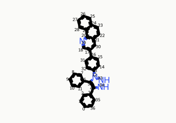 c1ccc(C2=C(c3ccccc3)N(c3ccc(-c4cnc5c(ccc6ccccc65)c4)cc3)NN2)cc1